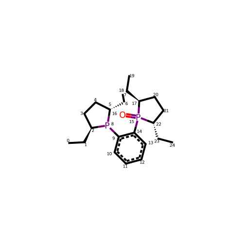 CC[C@H]1CC[C@H](CC)P1c1ccccc1P1(=O)[C@@H](CC)CC[C@@H]1CC